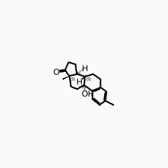 Cc1ccc2c(c1)CC[C@H]1[C@@H]3CCC(=O)[C@@]3(C)CC[C@]21O